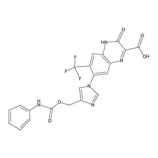 O=C(Nc1ccccc1)OCc1cn(-c2cc3nc(C(=O)O)c(=O)[nH]c3cc2C(F)(F)F)cn1